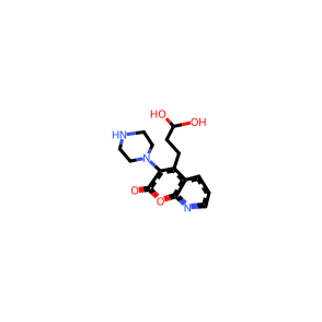 O=c1oc2ncccc2c(CCC(O)O)c1N1CCNCC1